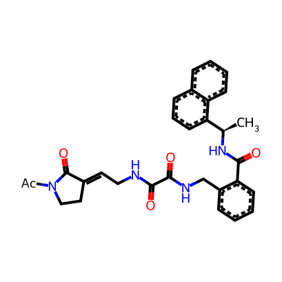 CC(=O)N1CC/C(=C\CNC(=O)C(=O)NCc2ccccc2C(=O)N[C@H](C)c2cccc3ccccc23)C1=O